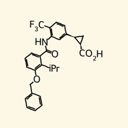 CC(C)c1c(OCc2ccccc2)cccc1C(=O)Nc1cc([C@H]2C[C@H]2C(=O)O)ccc1C(F)(F)F